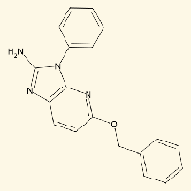 Nc1nc2ccc(OCc3ccccc3)nc2n1-c1ccccc1